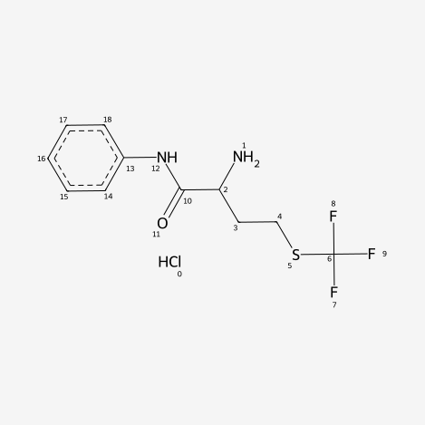 Cl.NC(CCSC(F)(F)F)C(=O)Nc1ccccc1